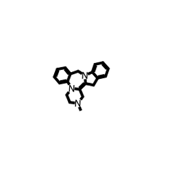 CN1CCN2C(=C3Cc4ccccc4N3Cc3ccccc32)C1